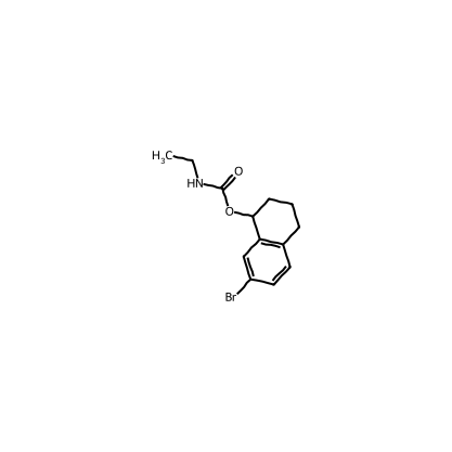 CCNC(=O)OC1CCCc2ccc(Br)cc21